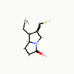 CCC1C(=CF)CN2C(=O)CCC12